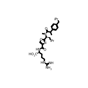 CC(C)Cc1ccc(C(C)C(=O)N(C)[C@@H](CC(C)C)c2nc(C(=O)N[C@@H](CCCNC(=N)N)C(=O)O)co2)cc1